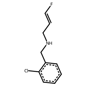 FC=CCNCc1ccccc1Cl